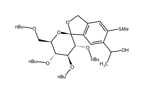 CCCCOC[C@H]1O[C@]2(OCc3cc(SC)c(C(C)O)cc32)[C@H](OCCCC)[C@@H](OCCCC)[C@@H]1OCCCC